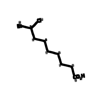 CCC(Cl)CCCCCCC(=O)O